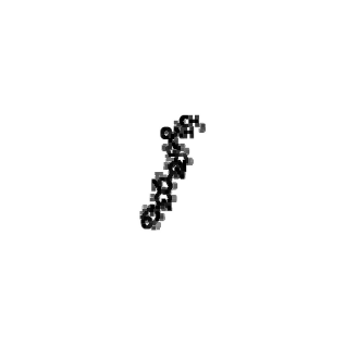 CCNC(=O)N1CCC2(CCn3nc(-c4cnc5c(c4)C=NC(N4CCOCC4)C5)cc32)C1